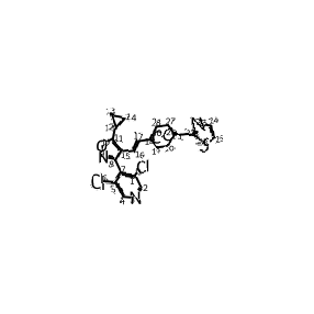 Clc1cncc(Cl)c1-c1noc(C2CC2)c1/C=C/C12CCC(c3nccs3)(CC1)CC2